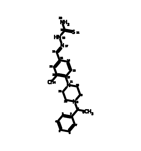 CC(c1ccccc1)N1CCN(c2ccc(C=NNC(N)=S)cc2Cl)CC1